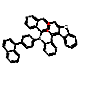 c1ccc(N(c2ccc(-c3cccc4ccccc34)cc2)c2cccc3ccccc23)c(-c2cccc3oc4ccccc4c23)c1